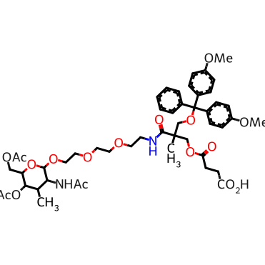 COc1ccc(C(OCC(C)(COC(=O)CCC(=O)O)C(=O)NCCOCCOCCOC2OC(COC(C)=O)C(OC(C)=O)C(C)C2NC(C)=O)(c2ccccc2)c2ccc(OC)cc2)cc1